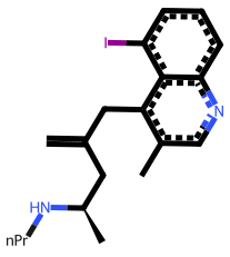 C=C(Cc1c(C)cnc2cccc(I)c12)C[C@@H](C)NCCC